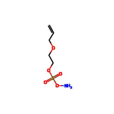 C=CCOCCOS(=O)(=O)ON